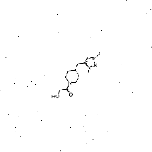 Cc1cc(CC2CCN(C(=O)CO)CC2)n(C)n1